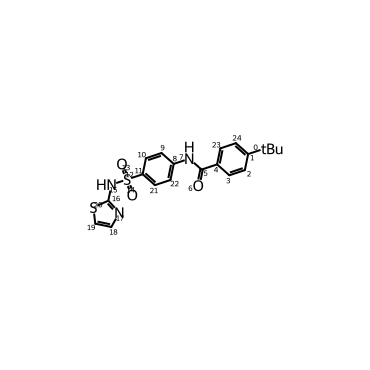 CC(C)(C)c1ccc(C(=O)Nc2ccc(S(=O)(=O)Nc3nccs3)cc2)cc1